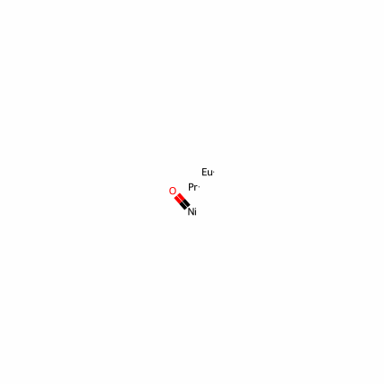 [Eu].[O]=[Ni].[Pr]